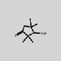 CC1(C)CC(=O)C(C)(C)N1S(=O)(=O)O